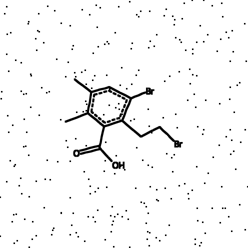 Cc1cc(Br)c(CCBr)c(C(=O)O)c1C